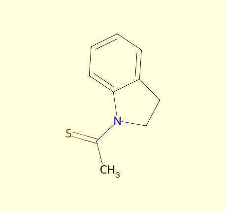 CC(=S)N1CCc2ccccc21